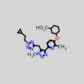 Cc1nc(-c2nnn(C)c2Cc2nnn(CCC3CC3)n2)ccc1OC1CCCC(C(=O)O)C1